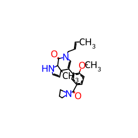 C/C=C/CN1C=C(c2cc(C(=O)N3CCC3)ccc2OC)C2(C)C=CNC2C1=O